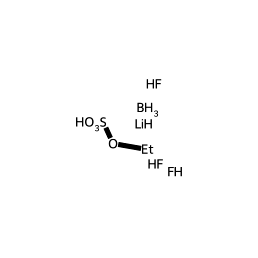 B.CCOS(=O)(=O)O.F.F.F.[LiH]